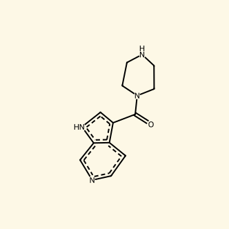 O=C(c1c[nH]c2cnccc12)N1CCNCC1